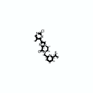 Cc1cnc(Cl)nc1-c1cn2c(n1)C(=O)N(Cc1cccc(C(F)F)n1)CC2